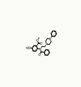 COC(=O)c1cc(O)ccc1N(CCN1CCN(c2ccccc2)CC1)C(=O)c1ccccc1